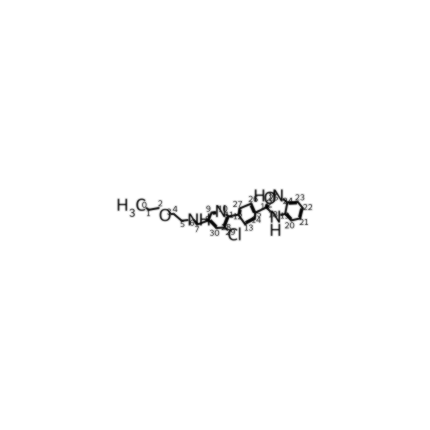 CCCOCCNCc1cnc(-c2ccc(C(=O)Nc3ccccc3N)cc2)c(Cl)c1